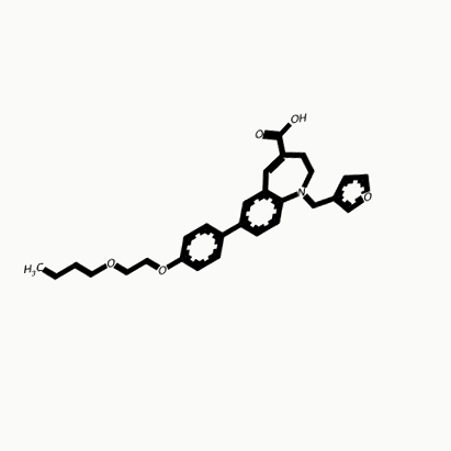 CCCCOCCOc1ccc(-c2ccc3c(c2)C=C(C(=O)O)CCN3Cc2ccoc2)cc1